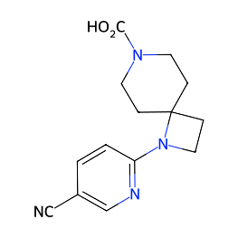 N#Cc1ccc(N2CCC23CCN(C(=O)O)CC3)nc1